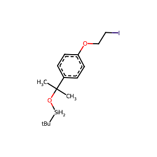 CC(C)(C)[SiH2]OC(C)(C)c1ccc(OCCI)cc1